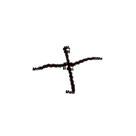 COCCOCCOCCOCCOCCOCCOCCOCCOCCOCCOCCNC(=O)CCCCC(COCCC(=O)NCCOCCOCCOCCOCCOCCOCCOCCOCCOCCOCCOC)(COCCC(=O)NCCOCCOCCOCCOCCOCCOCCOCCOCCOCCOCCOC)NC(=O)CCOCCOCCOCCOCCNC(=O)CCCC(N)=O